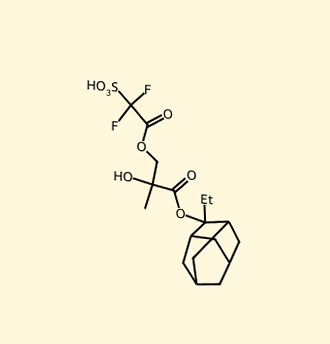 CCC1(OC(=O)C(C)(O)COC(=O)C(F)(F)S(=O)(=O)O)C2CC3CC(C2)CC1C3